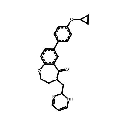 O=C1c2cc(-c3ccc(OC4CC4)cc3)ccc2OCCN1CC1N=CC=CN1